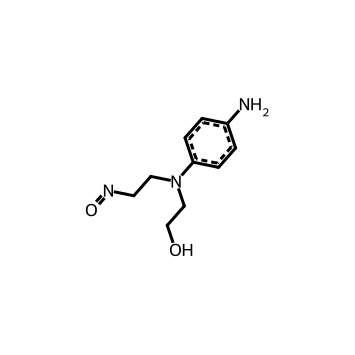 Nc1ccc(N(CCO)CCN=O)cc1